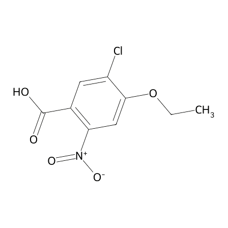 CCOc1cc([N+](=O)[O-])c(C(=O)O)cc1Cl